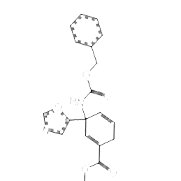 COC(=O)C1=CC(NC(=O)OCc2ccccc2)(c2cnco2)C=CC1